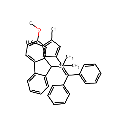 COc1ccc2c(c1)[CH]([Zr]([CH3])([CH3])([C]1=CC(C)=C(C)C1)=[C](c1ccccc1)c1ccccc1)c1ccccc1-2